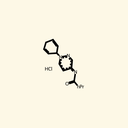 CCCC(=O)N=c1ccn(C2C=CCC=C2)nc1.Cl